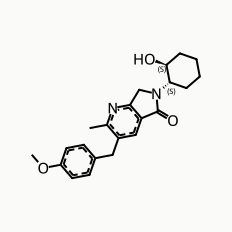 COc1ccc(Cc2cc3c(nc2C)CN([C@H]2CCCC[C@@H]2O)C3=O)cc1